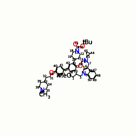 COCCCn1cc(CN(C(=O)[C@H]2CN(C(=O)OC(C)(C)C)CC[C@@H]2c2cccc(-c3ccc(OCCC4CCN(C)CC4)cc3)c2)C2CC2)c2ccccc21